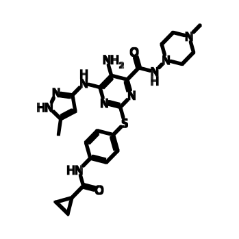 Cc1cc(Nc2nc(Sc3ccc(NC(=O)C4CC4)cc3)nc(C(=O)NN3CCN(C)CC3)c2N)n[nH]1